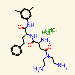 Cc1cc(C)cc(NC(=O)[C@H](CCc2ccccc2)NC(=O)[C@@H](N)CC(=O)N(CCN)CCN)c1.Cl.Cl.Cl